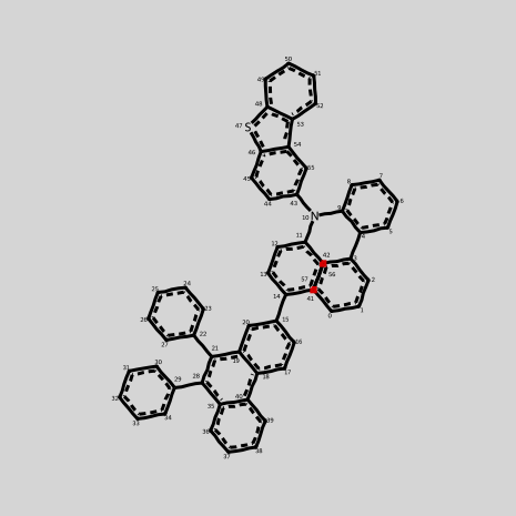 c1ccc(-c2ccccc2N(c2ccc(-c3ccc4c(c3)c(-c3ccccc3)c(-c3ccccc3)c3ccccc34)cc2)c2ccc3sc4ccccc4c3c2)cc1